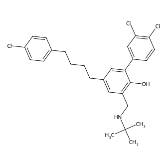 CC(C)(C)NCc1cc(CCCCc2ccc(Cl)cc2)cc(-c2ccc(Cl)c(Cl)c2)c1O